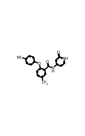 N#Cc1ccc(Oc2ccc(C(F)(F)F)cc2C(=O)Nc2cc[nH]c(=O)c2)cc1